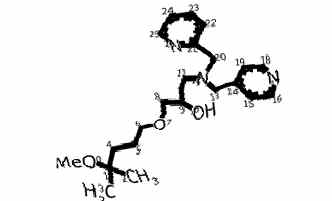 COC(C)(C)CCCOCC(O)CN(Cc1ccncc1)Cc1ccccn1